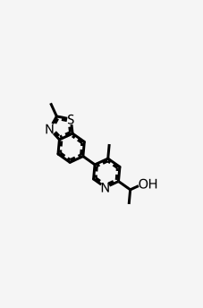 Cc1nc2ccc(-c3cnc(C(C)O)cc3C)cc2s1